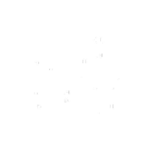 C=C.CCC1=C[C@H]2CO[C@H](O2)C1=O.CCOC(C)OCC